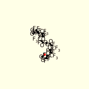 O=C(OOC(=O)C(F)(OC(F)(F)C(F)(OC(F)(F)C(F)(F)S(=O)(=O)F)C(F)(F)F)C(F)(F)F)C(F)(OC(F)(F)C(F)(OC(F)(F)C(F)(F)S(=O)(=O)F)C(F)(F)F)C(F)(F)F